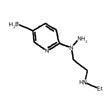 Bc1ccc(N(N)CCNCC)nc1